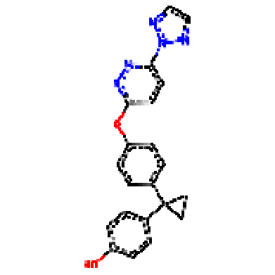 Oc1ccc(C2(c3ccc(Oc4ccc(-n5nccn5)nn4)cc3)CC2)cc1